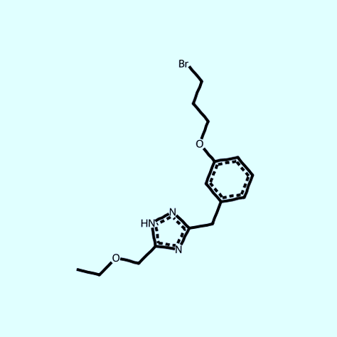 CCOCc1nc(Cc2cccc(OCCCBr)c2)n[nH]1